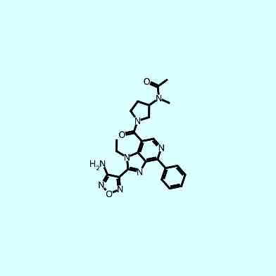 CCn1c(-c2nonc2N)nc2c(-c3ccccc3)ncc(C(=O)N3CCC(N(C)C(C)=O)C3)c21